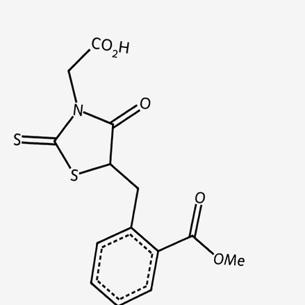 COC(=O)c1ccccc1CC1SC(=S)N(CC(=O)O)C1=O